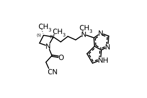 C[C@H]1CN(C(=O)CC#N)[C@]1(C)CCCN(C)c1ncnc2[nH]ccc12